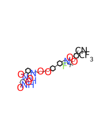 CC1(C)CN(Cc2ccc(-c3ccc(OCCOCCNc4cccc5c4C(=O)N(C4CCC(=O)NC4=O)C5=O)cc3)cc2F)C(=O)C1Oc1ccc(C#N)c(C(F)(F)F)c1